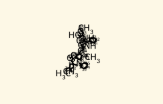 CCCCC1(CCCC)CN(c2ccccc2)c2cc(SC)c(OCC(=O)N[C@@H](C(=O)NC(COC)C(=O)O)c3ccccc3)cc2S(=O)(=O)C1